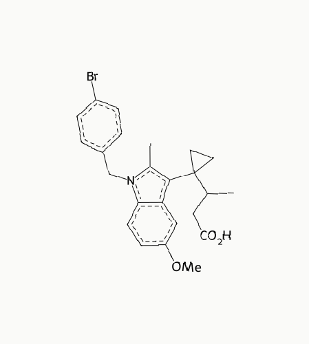 COc1ccc2c(c1)c(C1(C(C)CC(=O)O)CC1)c(C)n2Cc1ccc(Br)cc1